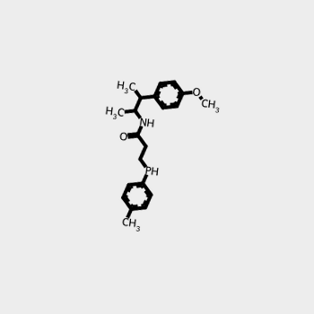 COc1ccc(C(C)C(C)NC(=O)CCPc2ccc(C)cc2)cc1